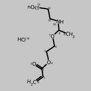 C=CC(=O)OCCOC(C)NCCCCCCCCCC.Cl